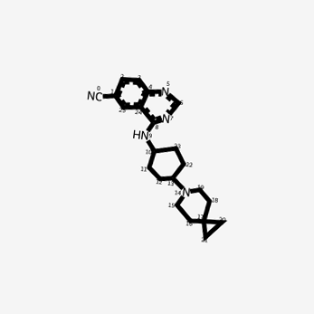 N#Cc1ccc2ncnc(NC3CCC(N4CCC5(CC4)CC5)CC3)c2c1